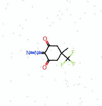 CC1(C(F)(F)F)CC(=O)C(=[N+]=[N-])C(=O)C1